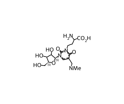 CNCc1cn([C@H]2O[C@@H](CO)C(O)C2O)c(=O)n(CCC(N)C(=O)O)c1=O